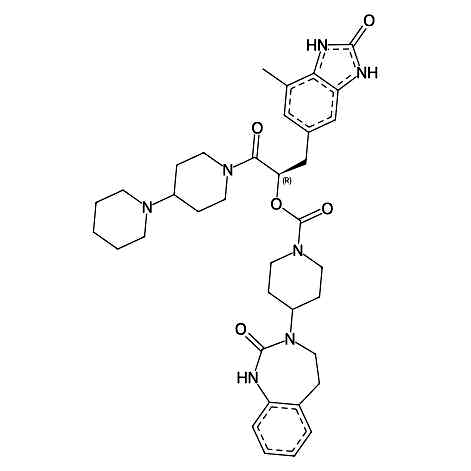 Cc1cc(C[C@@H](OC(=O)N2CCC(N3CCc4ccccc4NC3=O)CC2)C(=O)N2CCC(N3CCCCC3)CC2)cc2[nH]c(=O)[nH]c12